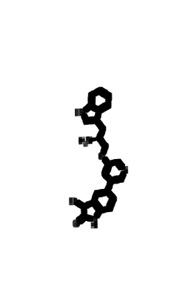 CCC1C(=O)Nc2ccc(-c3cncc(OC[C@H](N)Cc4c[nH]c5ccccc45)c3)cc21